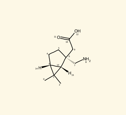 CC1(C)[C@@H]2CC[C@@](CN)(CC(=O)O)[C@@H]21